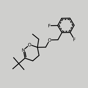 CCC1(COCc2c(F)cccc2F)CCC(C(C)(C)C)=NO1